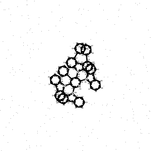 c1ccc(-c2c(-n3c4ccccc4c4ccccc43)c(-n3c4ccccc4c4ccccc43)nc(-n3c4ccccc4c4ccccc43)c2-n2c3cccc(-c4ccccc4)c3c3c(-c4ccccc4)cccc32)cc1